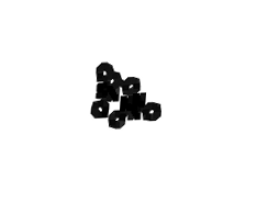 c1ccc(-c2nc(-c3ccccc3)nc(-c3cccc(-c4cc5ccccc5c5sc(-c6ccccc6)nc45)c3)n2)cc1